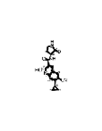 Cl.N#Cc1cc2cc(C(=O)N[C@H]3CCNC3=O)cnc2cc1C1CC1